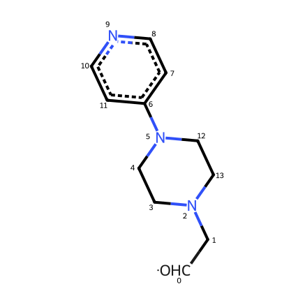 O=[C]CN1CCN(c2ccncc2)CC1